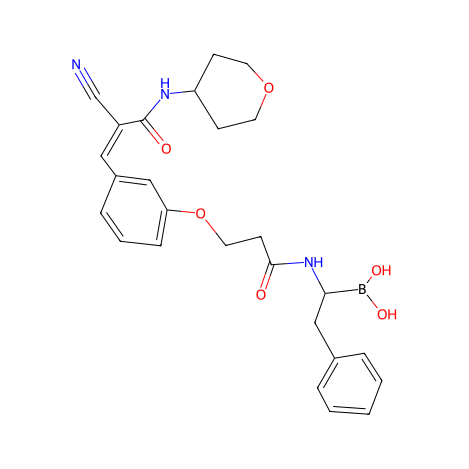 N#CC(=Cc1cccc(OCCC(=O)NC(Cc2ccccc2)B(O)O)c1)C(=O)NC1CCOCC1